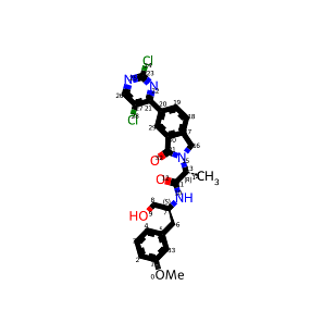 COc1cccc(C[C@@H](CO)NC(=O)[C@@H](C)N2Cc3ccc(-c4nc(Cl)ncc4Cl)cc3C2=O)c1